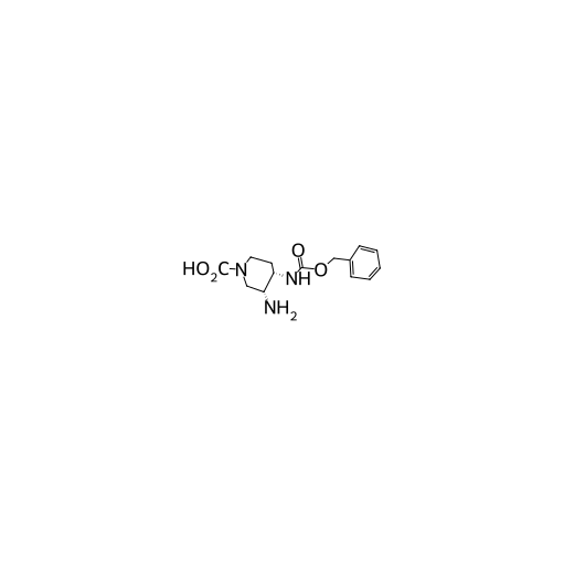 N[C@@H]1CN(C(=O)O)CC[C@@H]1NC(=O)OCc1ccccc1